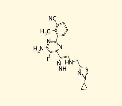 Cc1c(C#N)cccc1-c1nc(N)c(F)c(/C(=C/NCc2ccn(C3CC3)n2)N=N)n1